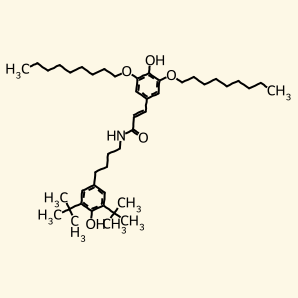 CCCCCCCCCOc1cc(/C=C/C(=O)NCCCCc2cc(C(C)(C)C)c(O)c(C(C)(C)C)c2)cc(OCCCCCCCCC)c1O